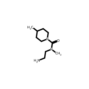 CC1CCN(C(=O)N(C)CCN)CC1